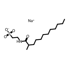 CCCCCCCCCCC(C)C(=O)NCCS(=O)(=O)[O-].[Na+]